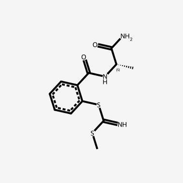 CSC(=N)Sc1ccccc1C(=O)N[C@@H](C)C(N)=O